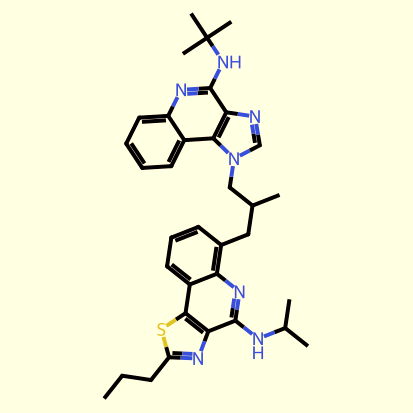 CCCc1nc2c(NC(C)C)nc3c(CC(C)Cn4cnc5c(NC(C)(C)C)nc6ccccc6c54)cccc3c2s1